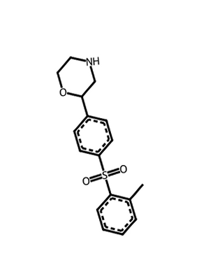 Cc1ccccc1S(=O)(=O)c1ccc(C2CNCCO2)cc1